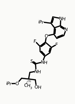 CC(C)OC[C@](C)(CO)CNC(=S)Nc1cc(F)c(Oc2ccnc3[nH]cc(C(C)C)c23)c(F)c1